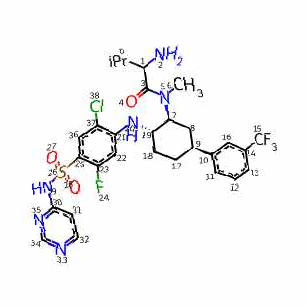 CC(C)C(N)C(=O)N(C)[C@H]1C[C@@H](c2cccc(C(F)(F)F)c2)CC[C@@H]1Nc1cc(F)c(S(=O)(=O)Nc2ccncn2)cc1Cl